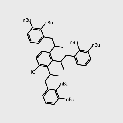 CCCCc1cccc(CC(C)c2ccc(O)c(C(C)Cc3cccc(CCCC)c3CCCC)c2C(C)Cc2cccc(CCCC)c2CCCC)c1CCCC